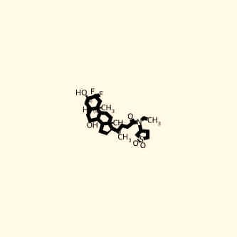 CCN(C(=O)CC[C@@H](C)[C@H]1CCC2C3C(CC[C@@]21C)[C@@]1(C)CC(F)(F)[C@H](O)C[C@H]1C[C@@H]3O)C1CCS(=O)(=O)C1